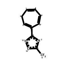 FC(F)(F)c1nc(C2=CCC=CC=C2)no1